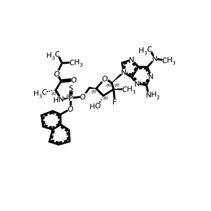 CC(C)OC(=O)[C@@H](C)N[P@@](=S)(OC[C@H]1O[C@@H](n2cnc3c(N(C)C)nc(N)nc32)[C@](C)(F)[C@@H]1O)Oc1cccc2ccccc12